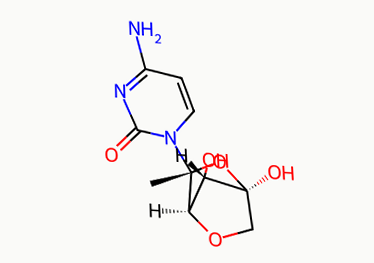 C[C@@]1(n2ccc(N)nc2=O)O[C@@]2(O)CO[C@@H]1[C@@H]2O